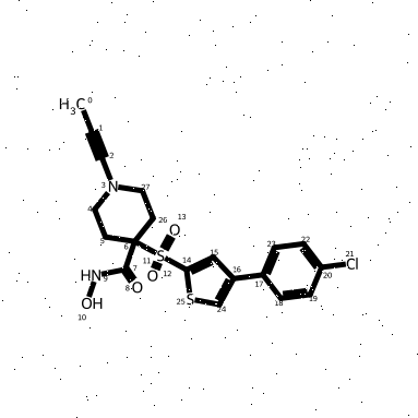 CC#CN1CCC(C(=O)NO)(S(=O)(=O)c2cc(-c3ccc(Cl)cc3)cs2)CC1